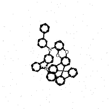 c1ccc(-c2cccc(N(c3ccc4c(c3)c3ccccc3n4-c3ccccc3)c3cccc4c3Oc3c(ccc5c3-c3ccccc3C53c5ccccc5-c5ccccc53)O4)c2)cc1